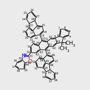 CC1(C)c2ccccc2-c2cc3c(-c4ccc5c6c(cccc46)C4C=CC=CC54)c4ccc(-c5nc6ccccc6o5)cc4c(-c4ccc5c6c(cccc46)C4C=CC=CC54)c3cc21